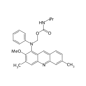 COc1c(C)cc2nc3cc(C)ccc3cc2c1N(COC(=O)NC(C)C)c1ccccc1